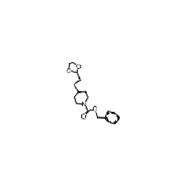 O=C(OCc1ccccc1)N1CCC(CCC2OCCO2)CC1